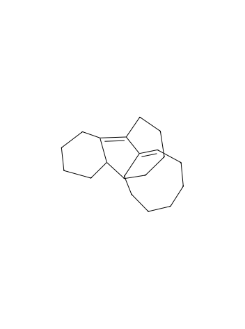 C1=C(/C2=C3/CCCCC3CCCCC2)CCCCCC/1